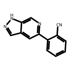 N#Cc1ccccc1-c1cc2cn[nH]c2cn1